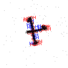 CC(=O)NC1C(O)[C@H](O)C(CO)C[C@H]1OCCCC(=O)NCCCNC(=O)CCOCC(COCCC(=O)NCCCNC(=O)CCCO[C@@H]1CC(CO)[C@@H](O)C(O)C1NC(C)=O)(COCCC(=O)NCCCNC(=O)CCCO[C@@H]1CC(CO)[C@@H](O)C(O)C1NC(C)=O)NC(=O)CCCC(=O)C(C)C